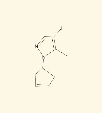 Cc1c(I)cnn1C1CC=CC1